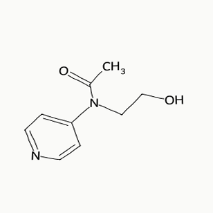 CC(=O)N(CCO)c1ccncc1